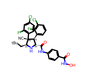 CC(C)(C)C[C@@H]1N[C@@H](C(=O)Nc2ccc(C(=O)NO)cc2)[C@H](c2cccc(Cl)c2F)[C@@]1(C#N)c1ccc(Cl)cc1F